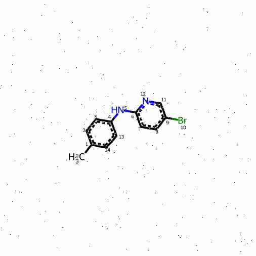 Cc1ccc(Nc2ccc(Br)cn2)cc1